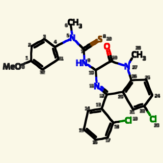 COc1ccc(N(C)C(=S)NC2N=C(c3ccccc3Cl)c3cc(Cl)ccc3N(C)C2=O)cc1